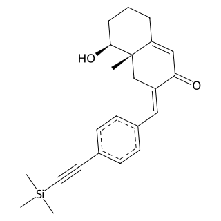 C[C@]12C/C(=C\c3ccc(C#C[Si](C)(C)C)cc3)C(=O)C=C1CCC[C@@H]2O